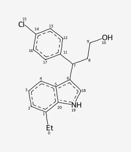 CCc1cccc2c(C(CCO)c3ccc(Cl)cc3)c[nH]c12